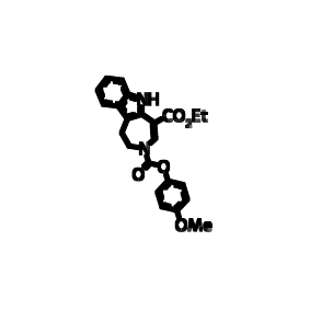 CCOC(=O)C1=CN(C(=O)Oc2ccc(OC)cc2)CCc2c1[nH]c1ccccc21